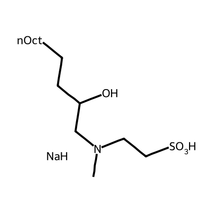 CCCCCCCCCCC(O)CN(C)CCS(=O)(=O)O.[NaH]